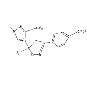 Cn1cc(C2(C(F)(F)F)CC(c3ccc(C(=O)O)cc3)=NO2)c(C(F)(F)F)n1